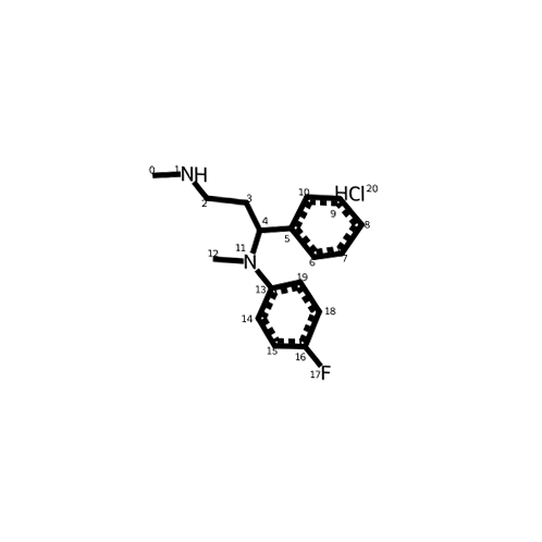 CNCCC(c1ccccc1)N(C)c1ccc(F)cc1.Cl